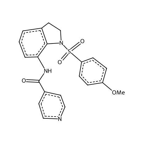 COc1ccc(S(=O)(=O)N2CCc3cccc(NC(=O)c4ccncc4)c32)cc1